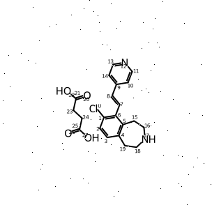 Clc1ccc2c(c1C=Cc1ccncc1)CCNCC2.O=C(O)CCC(=O)O